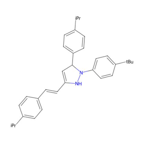 CC(C)c1ccc(C=CC2=CC(c3ccc(C(C)C)cc3)N(c3ccc(C(C)(C)C)cc3)N2)cc1